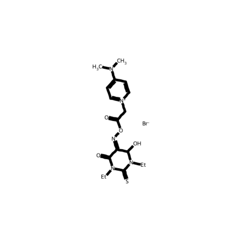 CCN1C(=O)C(=NOC(=O)C[n+]2ccc(N(C)C)cc2)C(O)N(CC)C1=S.[Br-]